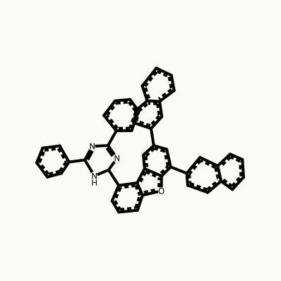 c1ccc(C2=NC(c3cccc4oc5c(-c6ccc7ccccc7c6)cc(-c6ccc7ccccc7c6)cc5c34)NC(c3ccccc3)=N2)cc1